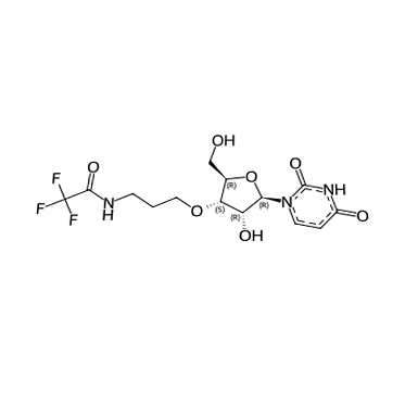 O=C(NCCCO[C@H]1[C@@H](O)[C@H](n2ccc(=O)[nH]c2=O)O[C@@H]1CO)C(F)(F)F